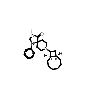 O=C1NCN(c2ccccc2)C12CCN(C1C[C@H]3CCCCCC[C@@H]13)CC2